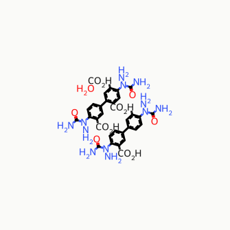 NC(=O)N(N)c1ccc(-c2ccc(N(N)C(N)=O)c(C(=O)O)c2)cc1C(=O)O.NC(=O)N(N)c1ccc(-c2ccc(N(N)C(N)=O)c(C(=O)O)c2)cc1C(=O)O.O